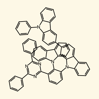 c1ccc(-c2nc(-c3ccccc3)nc(-c3cccc(-n4c5ccccc5c5ccc(-c6ccc7c(c6)c6ccccc6n7-c6ccccc6)cc54)c3-n3c4ccccc4c4ccccc43)n2)cc1